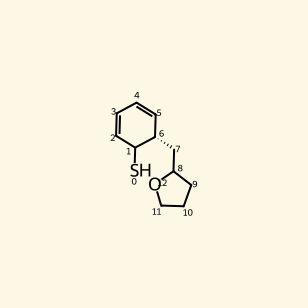 SC1C=CC=C[C@@H]1CC1CCCO1